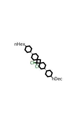 CCCCCCCCCC[C@H]1CC[C@H](C2CCC3(CC2)CC2(CCC([C@H]4CC[C@H](CCCCCC)CC4)CC2)C3(Cl)Cl)CC1